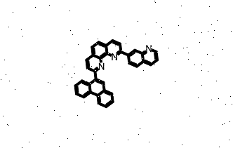 c1cnc2cc(-c3ccc4ccc5ccc(-c6cc7ccccc7c7ccccc67)nc5c4n3)ccc2c1